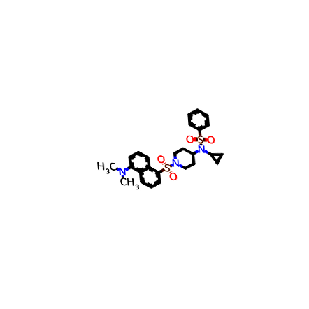 CN(C)c1cccc2c(S(=O)(=O)N3CCC(N(C4CC4)S(=O)(=O)c4ccccc4)CC3)cccc12